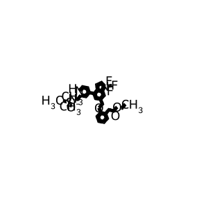 CCOC(=O)Cc1ccccc1OCc1cc(-c2ccnc(CN[S@@+]([O-])C(C)(C)C)c2)c2ccn(C(F)(F)F)c2c1